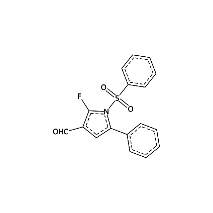 O=Cc1cc(-c2ccccc2)n(S(=O)(=O)c2ccccc2)c1F